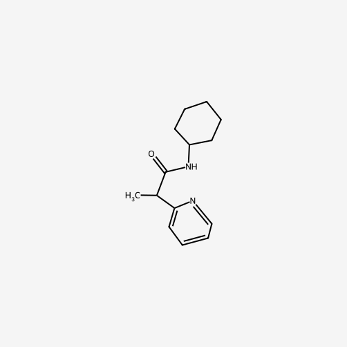 CC(C(=O)NC1CCCCC1)c1ccccn1